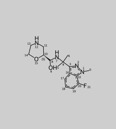 Cn1nc(C(C)(C)NC(O)[C@@H]2CNCCO2)c2cccc(F)c21